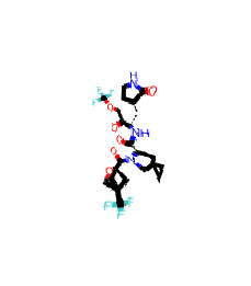 O=C1NCC[C@H]1C[C@H](NC(=O)[C@@H]1CC2(CC2)CN1C(=O)C12CC(C(F)(F)F)(CO1)C2)C(=O)COC(F)(F)F